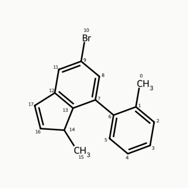 Cc1ccccc1-c1cc(Br)cc2c1C(C)C=C2